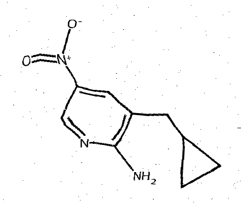 Nc1ncc([N+](=O)[O-])cc1CC1CC1